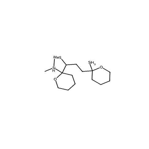 CSC(CCC1([SiH3])CCCCO1)C1([SiH](C)C)CCCCO1